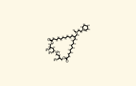 CC(C)CCC(COC(=O)CCCCCCCCCC(CCCCCCCCCC(=O)OCC(CCC(C)C)C(C)C)CN(C)CCN1CCCCC1)C(C)C